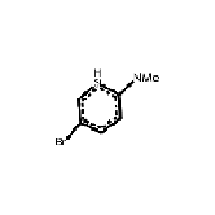 CNc1ccc(Br)c[siH]1